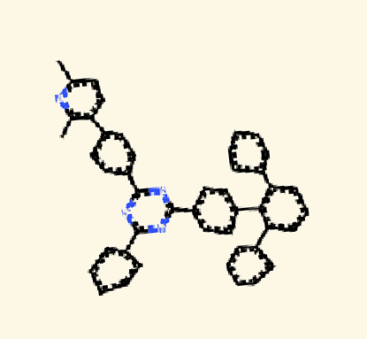 Cc1ccc(-c2ccc(-c3nc(-c4ccccc4)nc(-c4ccc(-c5c(-c6ccccc6)cccc5-c5ccccc5)cc4)n3)cc2)c(C)n1